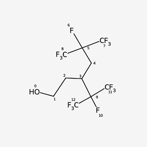 OCCC(CC(F)(C(F)(F)F)C(F)(F)F)C(F)(C(F)(F)F)C(F)(F)F